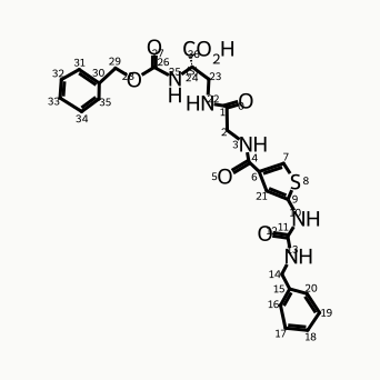 O=C(CNC(=O)c1csc(NC(=O)NCc2ccccc2)c1)NC[C@H](NC(=O)OCc1ccccc1)C(=O)O